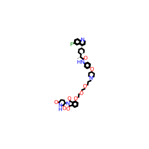 C[C@@H](C(=O)Nc1ccc(OC2CCN(CCCOCCOCCOc3cccc4c3C(=O)N(C3CCC(=O)NC3=O)C4=O)CC2)cc1)[C@H]1CC[C@@H](c2ccnc3ccc(F)cc32)CC1